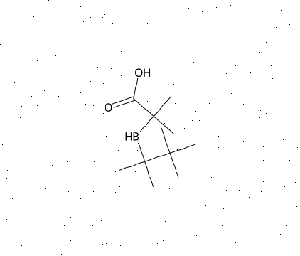 CC(C)(BC(C)(C)C(C)(C)C)C(=O)O